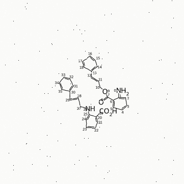 Nc1ccccc1C(=O)OCC=Cc1ccccc1.O=C(O)c1ccccc1NCC=Cc1ccccc1